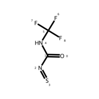 O=C(N=S)NC(F)(F)F